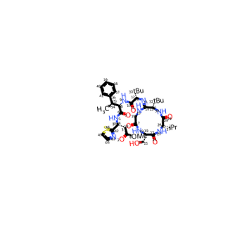 COC(=O)C[C@@H](NC(=O)[C@@H](NC(=O)[C@@H](/N=C1\NCC(=O)N[C@@H](CO)C(=O)N[C@@H](C(C)C)C(=O)N[C@H]1C(C)(C)C)C(C)(C)C)[C@@H](C)c1ccccc1)c1nccs1